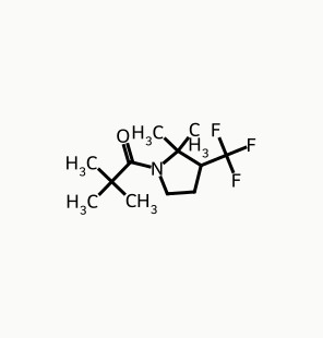 CC(C)(C)C(=O)N1CCC(C(F)(F)F)C1(C)C